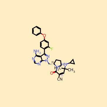 CC(C)(/C=C(/C#N)C(=O)N1CCC[C@H]1Cn1nc(-c2ccc(Oc3ccccc3)cc2F)c2c(N)ncnc21)NC1CC1